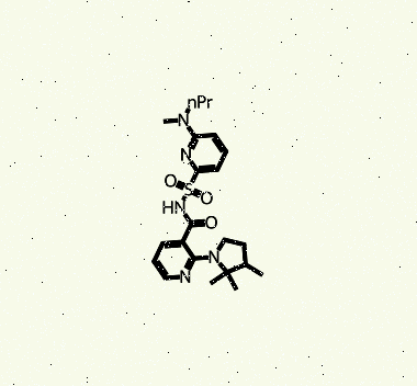 CCCN(C)c1cccc(S(=O)(=O)NC(=O)c2cccnc2N2CCC(C)C2(C)C)n1